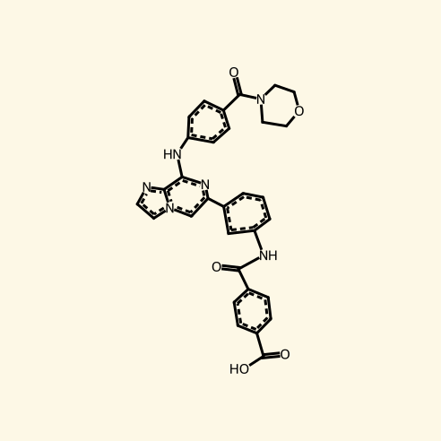 O=C(O)c1ccc(C(=O)Nc2cccc(-c3cn4ccnc4c(Nc4ccc(C(=O)N5CCOCC5)cc4)n3)c2)cc1